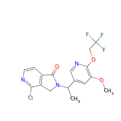 COc1cc(C(C)N2Cc3c(ccnc3Cl)C2=O)cnc1OCC(F)(F)F